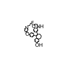 Oc1ccc2c(c1)CCCC(C1=CC3NCCOC3C=C1)=C2c1ccc(O[C@H]2CCN(CCCF)C2)cc1